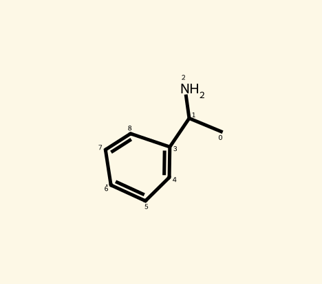 CC(N)c1cc[c]cc1